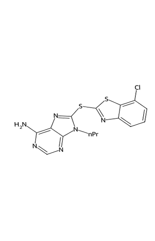 CCCn1c(Sc2nc3cccc(Cl)c3s2)nc2c(N)ncnc21